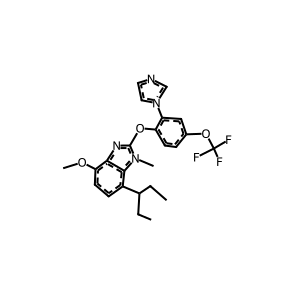 CCC(CC)c1ccc(OC)c2nc(Oc3ccc(OC(F)(F)F)cc3-n3ccnc3)n(C)c12